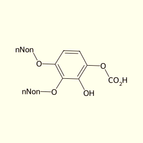 CCCCCCCCCOc1ccc(OC(=O)O)c(O)c1OCCCCCCCCC